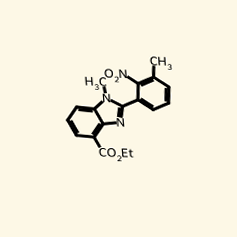 CCOC(=O)c1cccc2c1nc(-c1cccc(C)c1[N+](=O)[O-])n2C